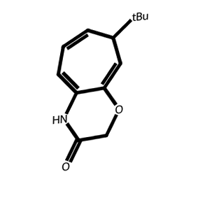 CC(C)(C)C1C=CC=C2NC(=O)COC2=C1